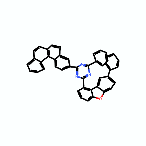 c1ccc(-c2ccc3oc4cccc(-c5nc(-c6ccccc6)nc(-c6ccc7c(ccc8ccc9ccccc9c87)c6)n5)c4c3c2)cc1